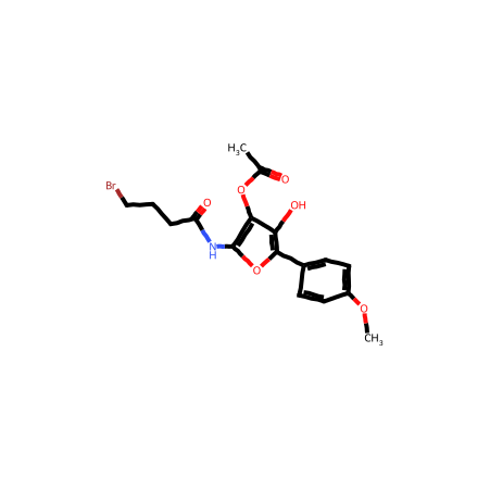 COc1ccc(-c2oc(NC(=O)CCCBr)c(OC(C)=O)c2O)cc1